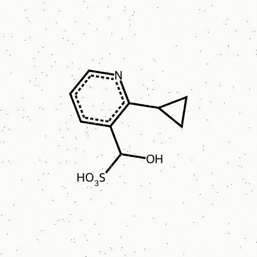 O=S(=O)(O)C(O)c1cccnc1C1CC1